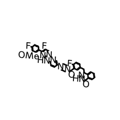 COc1cc(F)ccc1-c1nc(Nc2ccc(N3CCN(C(=O)c4cc(Cc5n[nH]c(=O)c6ccccc56)ccc4F)CC3)cn2)ncc1F